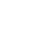 COc1ccc(Oc2cc(Cl)ccc2[N+](=O)[O-])c(C(=O)O)c1